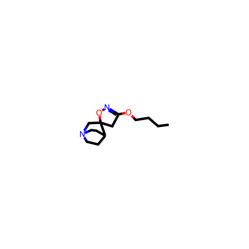 CCCCOC1=NOC2(C1)CN1CCC2CC1